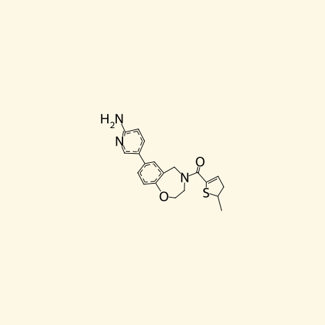 CC1CC=C(C(=O)N2CCOc3ccc(-c4ccc(N)nc4)cc3C2)S1